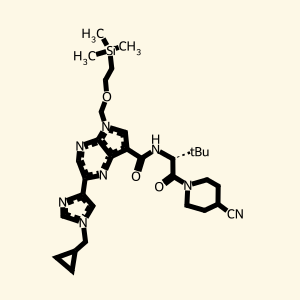 CC(C)(C)[C@@H](NC(=O)c1cn(COCC[Si](C)(C)C)c2ncc(-c3cn(CC4CC4)cn3)nc12)C(=O)N1CCC(C#N)CC1